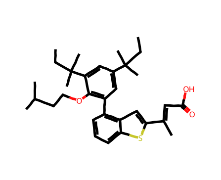 CCC(C)(C)c1cc(-c2cccc3sc(C(C)=CC(=O)O)cc23)c(OCCC(C)C)c(C(C)(C)CC)c1